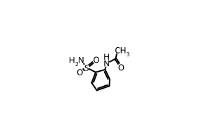 CC(=O)Nc1ccccc1S(N)(=O)=O